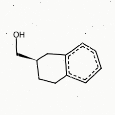 OC[C@@H]1CCc2ccccc2C1